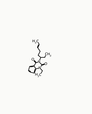 CC=CCCC(CC)n1c(=O)c2ccccc2n(CC)c1=O